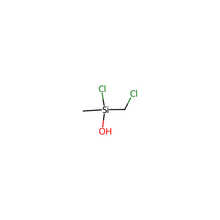 C[Si](O)(Cl)CCl